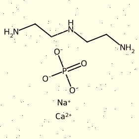 NCCNCCN.O=P([O-])([O-])[O-].[Ca+2].[Na+]